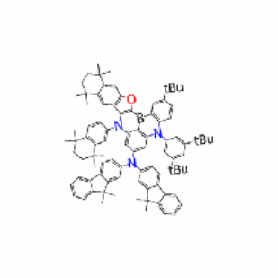 CC(C)(C)c1cc(N2c3ccc(C(C)(C)C)cc3B3c4oc5cc6c(cc5c4N(c4ccc5c(c4)C(C)(C)CCC5(C)C)c4cc(N(c5ccc7c(c5)C(C)(C)c5ccccc5-7)c5ccc7c(c5)C(C)(C)c5ccccc5-7)cc2c43)C(C)(C)CCC6(C)C)cc(C(C)(C)C)c1